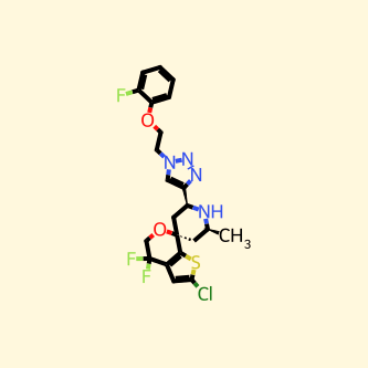 C[C@H]1C[C@@]2(C[C@@H](c3cn(CCOc4ccccc4F)nn3)N1)OCC(F)(F)c1cc(Cl)sc12